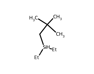 CC[SiH](CC)CC(C)(C)C